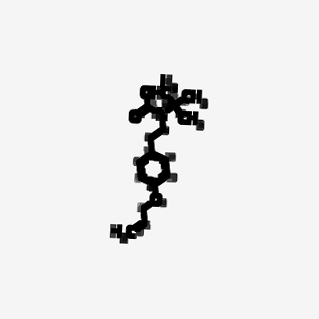 C=CCOc1ccc(CCN(C(=O)O)C(C)(C)C)cc1